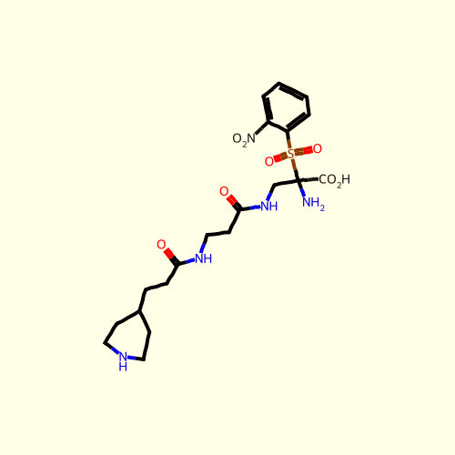 NC(CNC(=O)CCNC(=O)CCC1CCNCC1)(C(=O)O)S(=O)(=O)c1ccccc1[N+](=O)[O-]